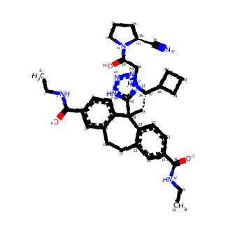 CCNC(=O)c1ccc2c(c1)CCc1cc(C(=O)NCC)ccc1C2(C[C@H](NCC(=O)N1CCC[C@H]1C#N)C1CCC1)c1nnn[nH]1